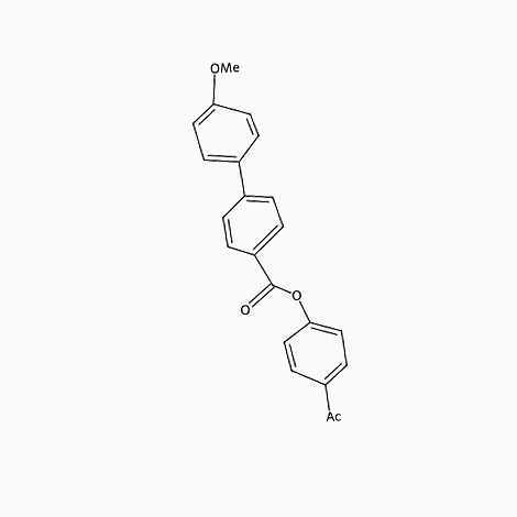 COc1ccc(-c2ccc(C(=O)Oc3ccc(C(C)=O)cc3)cc2)cc1